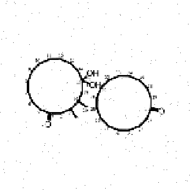 CC1CC(=O)CCCCCCCCCCC(O)(O)CC1C.O=C1CCCCCCCCCCCCCCC1